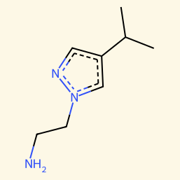 CC(C)c1cnn(CCN)c1